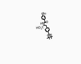 CC(C)(C)c1ccc(C(=O)N[C@@H](Cc2ccc(B3OC(C)(C)C(C)(C)O3)cc2)C(=O)O)cc1